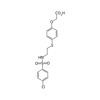 O=C(O)COc1ccc(SCCNS(=O)(=O)c2ccc(Cl)cc2)cc1